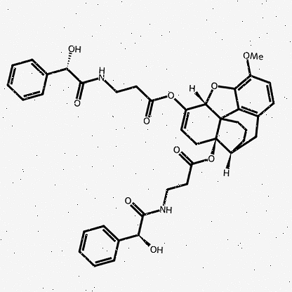 COc1ccc2c3c1O[C@H]1C(OC(=O)CCNC(=O)[C@@H](O)c4ccccc4)=CC[C@@]4(OC(=O)CCNC(=O)[C@@H](O)c5ccccc5)[C@H](CCCC314)C2